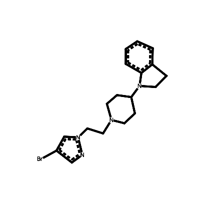 Brc1cnn(CCN2CCC(N3CCc4ccccc43)CC2)c1